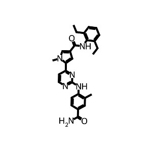 CCc1cccc(CC)c1NC(=O)c1cc(-c2ccnc(Nc3ccc(C(N)=O)cc3C)n2)n(C)c1